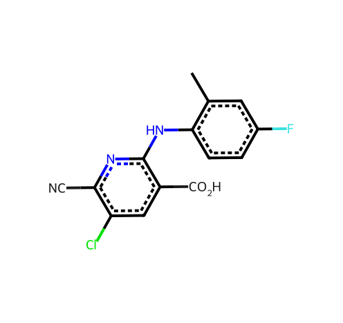 Cc1cc(F)ccc1Nc1nc(C#N)c(Cl)cc1C(=O)O